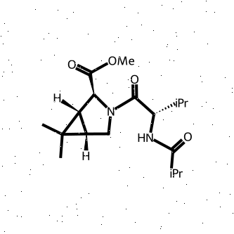 COC(=O)[C@@H]1[C@@H]2[C@H](CN1C(=O)[C@@H](NC(=O)C(C)C)C(C)C)C2(C)C